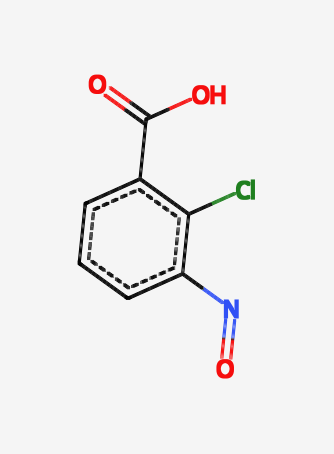 O=Nc1cccc(C(=O)O)c1Cl